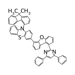 CC1(C)c2ccccc2-c2c(N3c4ccccc4Sc4cc(-c5cccc6c5oc5cccc(-c7nc(-c8ccccc8)cc(-c8ccccc8)n7)c56)ccc43)cccc21